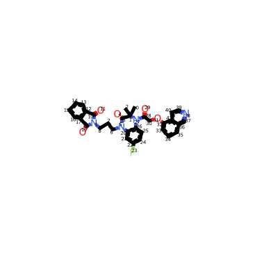 CC1(C)C(=O)N(CCCN2C(=O)c3ccccc3C2=O)c2cc(F)ccc2N1C(=O)COc1cccc2cnccc12